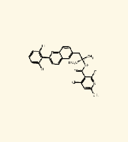 Cc1cc(Cl)c(C(=O)N[C@@](C)(Cc2ccc3nc(-c4c(Cl)cccc4Cl)ccc3c2)C(=O)O)c(Cl)n1